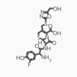 NC(C(=O)NC1C(=O)N2C(C(=O)O)=C(CSc3nnc(CO)o3)CS[C@H]12)c1ccc(O)c(F)c1